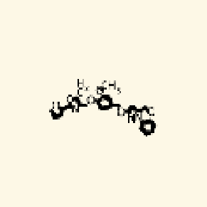 COc1cc(COc2cc(C=O)n(-c3ccccc3)n2)ccc1OCc1nc(-c2ccco2)oc1C